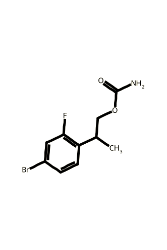 CC(COC(N)=O)c1ccc(Br)cc1F